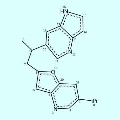 CC(C)c1cnc2cc(CC(C)c3cnc4cc[nH]c4c3)oc2c1